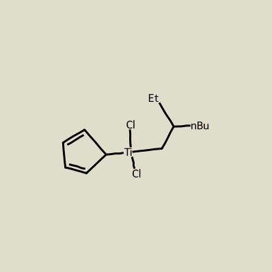 CCCCC(CC)[CH2][Ti]([Cl])([Cl])[CH]1C=CC=C1